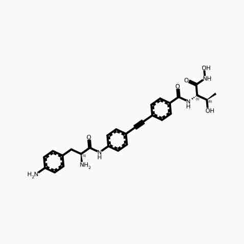 C[C@@H](O)[C@H](NC(=O)c1ccc(C#Cc2ccc(NC(=O)[C@@H](N)Cc3ccc(N)cc3)cc2)cc1)C(=O)NO